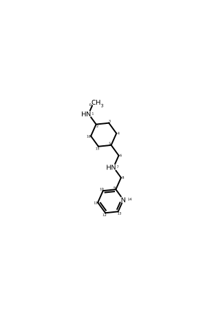 CNC1CCC(CNCc2ccccn2)CC1